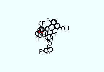 C#Cc1c(F)ccc2cc(O)cc(-c3nc(-c4cncc(C(F)(F)F)c4)c4c(N5C[C@H]6CC[C@@H](C5)N6)nc(OC[C@@]56CCCN5C[C@H](F)C6)nc4c3F)c12